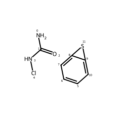 NC(=O)NCl.c1ccc2c(c1)S2